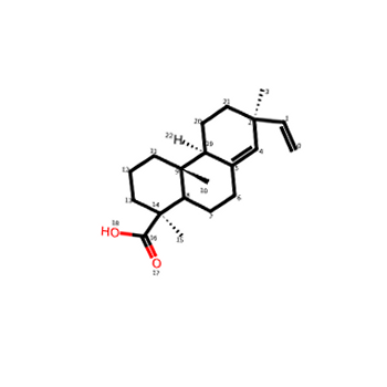 C=C[C@@]1(C)C=C2CCC3[C@](C)(CCC[C@]3(C)C(=O)O)[C@H]2CC1